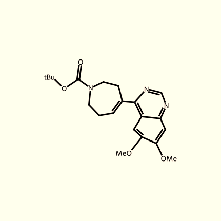 COc1cc2ncnc(C3=CCCN(C(=O)OC(C)(C)C)CC3)c2cc1OC